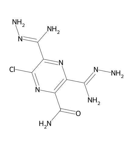 NN=C(N)c1nc(C(N)=NN)c(C(N)=O)nc1Cl